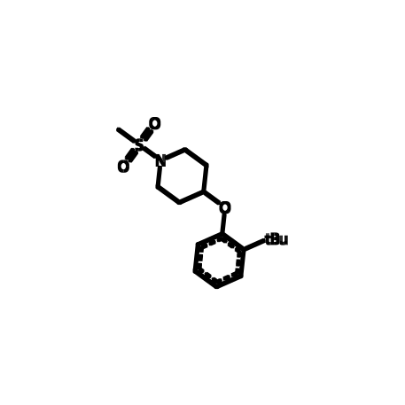 CC(C)(C)c1ccccc1OC1CCN(S(C)(=O)=O)CC1